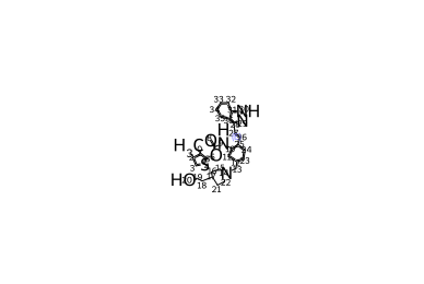 Cc1ccsc1OC(=O)Nc1cc(CN2CCC(CCO)CC2)ccc1/C=C/c1n[nH]c2ccccc12